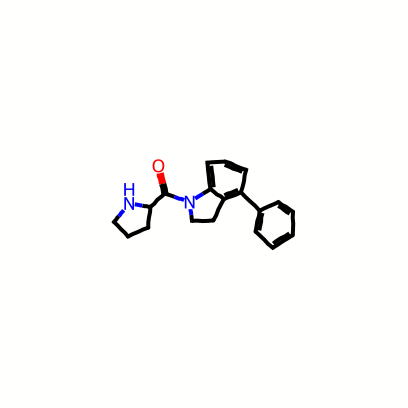 O=C(C1CCCN1)N1CCc2c(-c3ccccc3)cccc21